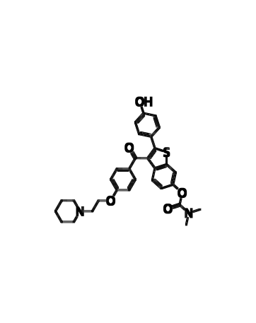 CN(C)C(=O)Oc1ccc2c(C(=O)c3ccc(OCCN4CCCCC4)cc3)c(-c3ccc(O)cc3)sc2c1